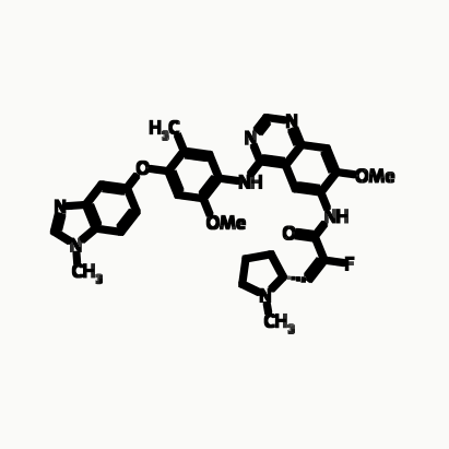 COc1cc2ncnc(Nc3cc(C)c(Oc4ccc5c(c4)ncn5C)cc3OC)c2cc1NC(=O)/C(F)=C\[C@H]1CCCN1C